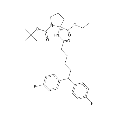 CCOC(=O)[C@]1(NC(=O)CCCCC(c2ccc(F)cc2)c2ccc(F)cc2)CCCN1C(=O)OC(C)(C)C